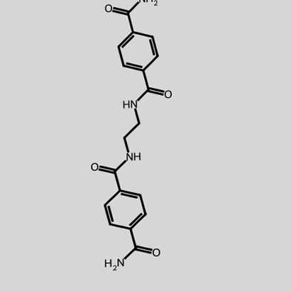 NC(=O)c1ccc(C(=O)NCCNC(=O)c2ccc(C(N)=O)cc2)cc1